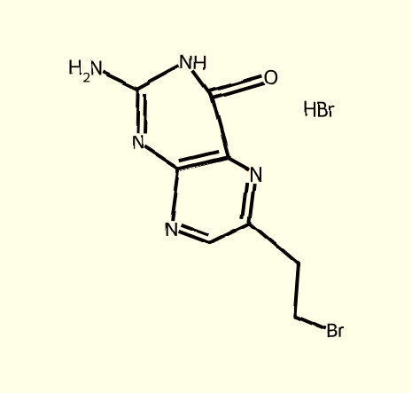 Br.Nc1nc2ncc(CCBr)nc2c(=O)[nH]1